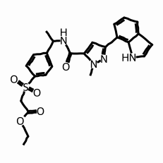 CCOC(=O)CS(=O)(=O)c1ccc(C(C)NC(=O)c2cc(-c3cccc4cc[nH]c34)nn2C)cc1